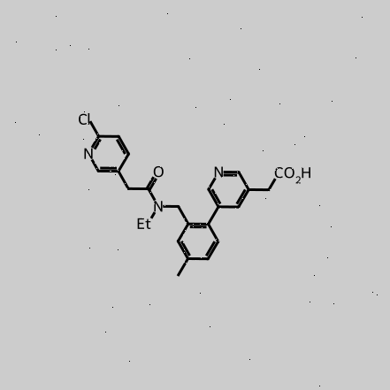 CCN(Cc1cc(C)ccc1-c1cncc(CC(=O)O)c1)C(=O)Cc1ccc(Cl)nc1